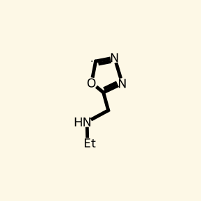 CCNCc1nn[c]o1